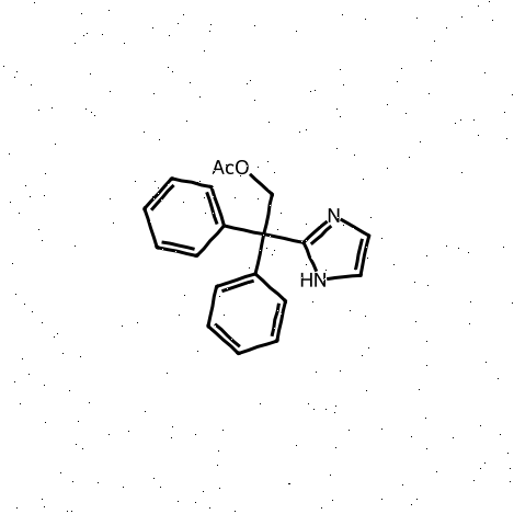 CC(=O)OCC(c1ccccc1)(c1ccccc1)c1ncc[nH]1